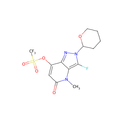 Cn1c(=O)cc(OS(=O)(=O)C(F)(F)F)c2nn(C3CCCCO3)c(F)c21